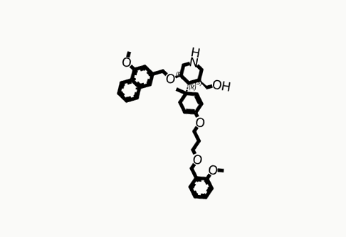 COc1ccccc1COCCCOC1=CCC(C)([C@H]2[C@H](CO)CNC[C@@H]2OCc2cc(OC)c3ccccc3c2)C=C1